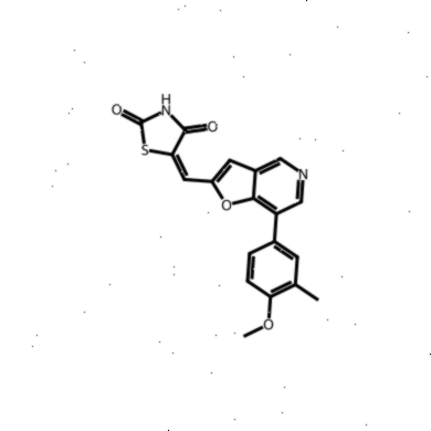 COc1ccc(-c2cncc3cc(C=C4SC(=O)NC4=O)oc23)cc1C